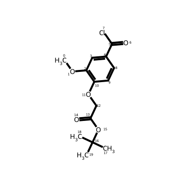 COc1cc(C(=O)Cl)ccc1OCC(=O)OC(C)(C)C